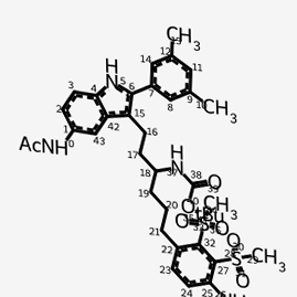 CC(=O)Nc1ccc2[nH]c(-c3cc(C)cc(C)c3)c(CCC(CCCc3ccc(N)c(S(C)(=O)=O)c3S(C)(=O)=O)NC(=O)OC(C)(C)C)c2c1